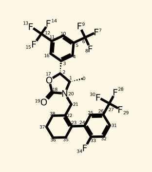 C[C@H]1[C@@H](c2cc(C(F)(F)F)cc(C(F)(F)F)c2)OC(=O)N1CC1=C(c2cc(C(F)(F)F)ccc2F)CCCC1